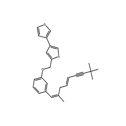 C/C(=C/c1cccc(OCc2cc(-c3ccsc3)cs2)c1)C/C=C/C#CC(C)(C)C